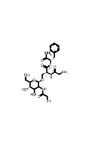 NCC(=O)N[C@@H](CO[C@@H]1OC(CO)[C@@H](O)C(O)C1NC(=O)CS)C(=O)N[C@@H](Cc1ccccc1)C(N)=O